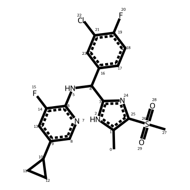 Cc1[nH]c(C(Nc2ncc(C3CC3)cc2F)c2ccc(F)c(Cl)c2)nc1S(C)(=O)=O